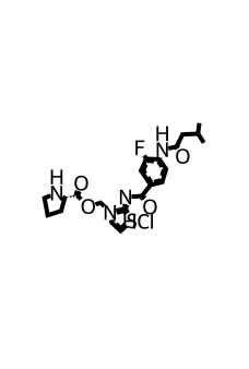 CC(C)CC(=O)Nc1ccc(C(=O)/N=c2\sccn2COC(=O)[C@@H]2CCCN2)cc1F.Cl